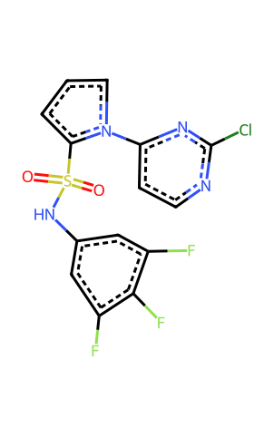 O=S(=O)(Nc1cc(F)c(F)c(F)c1)c1cccn1-c1ccnc(Cl)n1